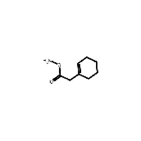 NOC(=O)CC1=CCCCC1